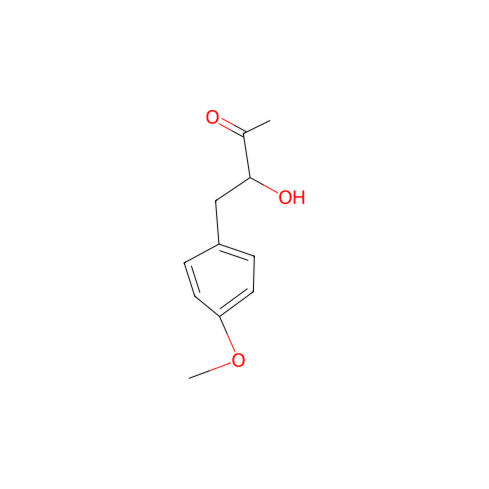 COc1ccc(CC(O)C(C)=O)cc1